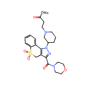 COC(=O)CCN1CCCC(n2nc(C(=O)N3CCOCC3)c3c2-c2ccccc2S(=O)(=O)C3)C1